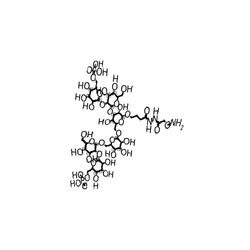 NOCC(=O)NNC(=O)CCCO[C@H]1OC(CO[C@@H]2OC(CO[C@@H]3OC(CO)[C@@H](O)[C@H](O)C3O[C@H]3OC(COP(=O)(O)O)[C@@H](O)[C@H](O)C3O)[C@@H](O)[C@H](O)C2O)[C@@H](O)[C@H](O[C@H]2OC(CO)[C@@H](O)[C@H](O)C2O[C@H]2OC(COP(=O)(O)O)[C@@H](O)[C@H](O)C2O)C1O